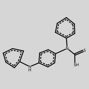 S=C(S)N(c1ccccc1)c1ccc(Nc2ccccc2)cc1